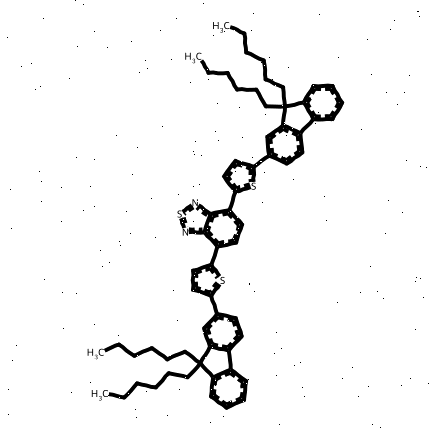 CCCCCCC1(CCCCCC)c2ccccc2-c2ccc(-c3ccc(-c4ccc(-c5ccc(-c6ccc7c(c6)C(CCCCCC)(CCCCCC)c6ccccc6-7)s5)c5nsnc45)s3)cc21